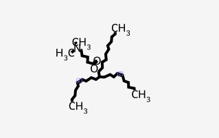 CCCCC/C=C\CCCC(CCC/C=C\CCCCC)C(CCCCCCCCCC)OC(=O)CCCCN(C)C